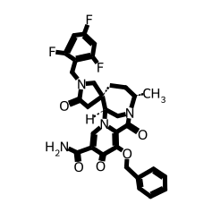 C[C@H]1CC[C@@]2(CC(=O)N(Cc3c(F)cc(F)cc3F)C2)[C@H]2CN1C(=O)c1c(OCc3ccccc3)c(=O)c(C(N)=O)cn12